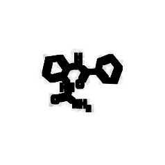 NC(=O)Nc1ccccc1NC(=O)c1ccccc1